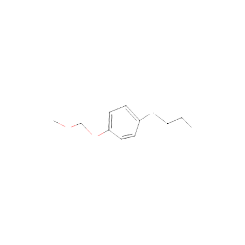 CCC[SiH2]c1ccc(OCOC)cc1